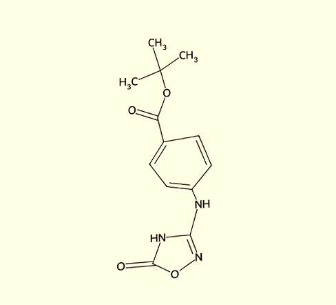 CC(C)(C)OC(=O)c1ccc(Nc2noc(=O)[nH]2)cc1